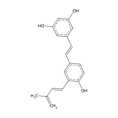 C=C(C)C=Cc1cc(/C=C/c2cc(O)cc(O)c2)ccc1O